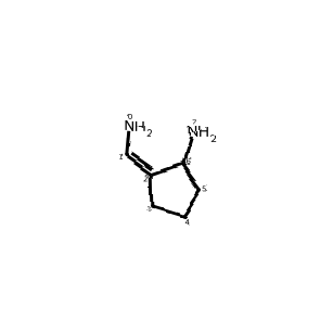 NC=C1CCCC1N